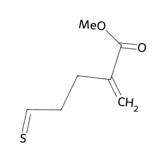 C=C(CCC=S)C(=O)OC